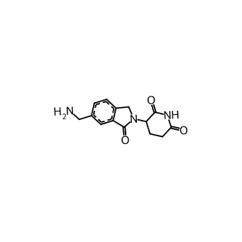 NCc1ccc2c(c1)C(=O)N(C1CCC(=O)NC1=O)C2